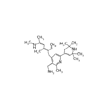 C=C/C(Cc1cc(C2=CC(C)(C)NC(C)(C)C2)nc(C)c1CN)=C(C)\C=C(\C)NC